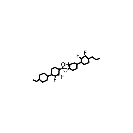 CCCC1CCC(C2CCC(OC(O)[C@H]3CCC(C4CCC(CC)CC4)C(F)[C@H]3F)CC2)C(F)C1F